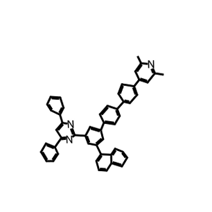 Cc1cc(-c2ccc(-c3ccc(-c4cc(-c5nc(-c6ccccc6)cc(-c6ccccc6)n5)cc(-c5cccc6ccccc56)c4)cc3)cc2)cc(C)n1